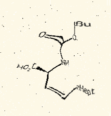 CCCCCCC/C=C\[C@H](NC(=O)OC(C)(C)C)C(=O)O